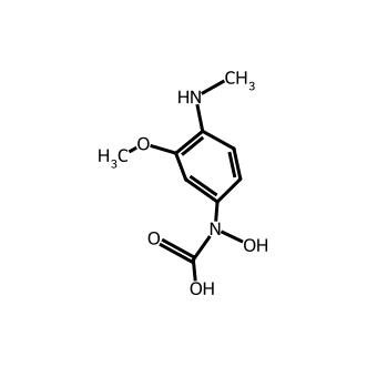 CNc1ccc(N(O)C(=O)O)cc1OC